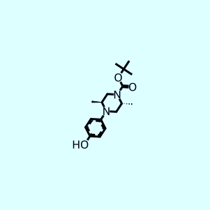 C[C@@H]1CN(c2ccc(O)cc2)[C@@H](C)CN1C(=O)OC(C)(C)C